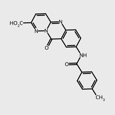 Cc1ccc(C(=O)Nc2ccc3nc4ccc(C(=O)O)nn4c(=O)c3c2)cc1